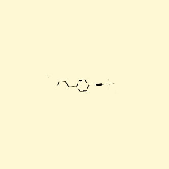 COC(=O)/C=C/c1ccc(C#C[Si](C)(C)C)cc1